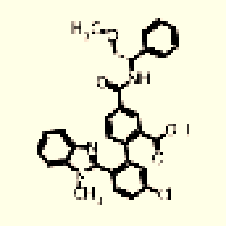 COC[C@@H](NC(=O)c1ccc(-c2cc(Cl)ccc2-c2nc3ccccc3n2C)c(C(=O)O)c1)c1ccccc1